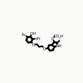 CCCc1c(OCCCOc2ccc3[nH]c(C)c(OC(=O)O)c3c2)ccc(C(C)=O)c1O